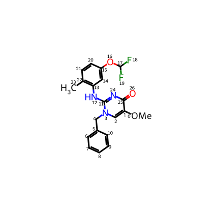 COc1cn(Cc2ccccc2)c(Nc2cc(OC(F)F)ccc2C)nc1=O